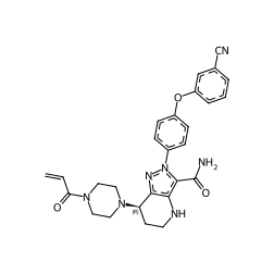 C=CC(=O)N1CCN([C@@H]2CCNc3c2nn(-c2ccc(Oc4cccc(C#N)c4)cc2)c3C(N)=O)CC1